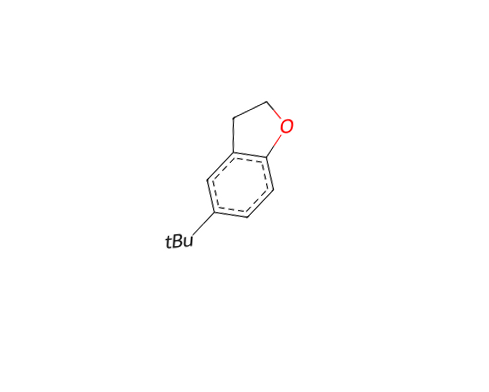 CC(C)(C)c1ccc2c(c1)CCO2